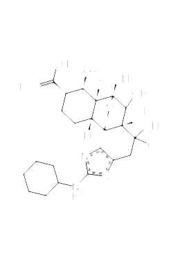 C=C(C)[C@@H]1CC[C@H]2[C@@]34CO[C@@](O)([C@@H](O)[C@@H]3C(C)(C)Cc3sc(NC5CCCCC5)nc34)[C@@]2(C(C)=O)[C@@H]1O